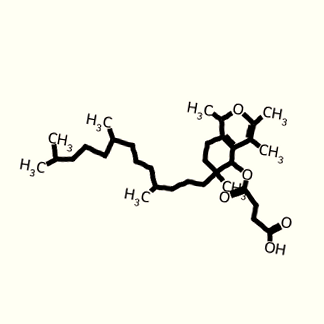 CC1=C(C)C2=C(CCC(C)(CCCC(C)CCCC(C)CCCC(C)C)C2OC(=O)CCC(=O)O)C(C)O1